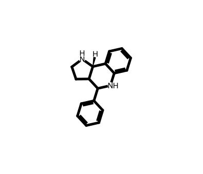 c1ccc(C2Nc3ccccc3[C@H]3NCCC23)cc1